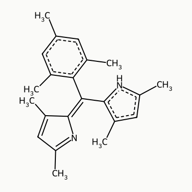 CC1=CC(C)=N/C1=C(\c1[nH]c(C)cc1C)c1c(C)cc(C)cc1C